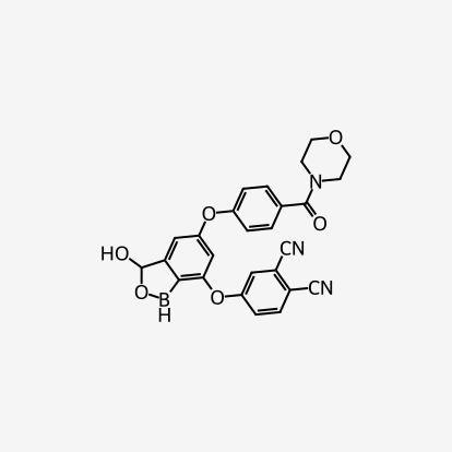 N#Cc1ccc(Oc2cc(Oc3ccc(C(=O)N4CCOCC4)cc3)cc3c2BOC3O)cc1C#N